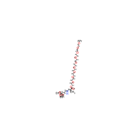 CCCOCCOCCOCCOCCOCCOCCOCCOCCOCCOC(=O)C(C)CNCCC[Si](OCC)(OCC)OCC